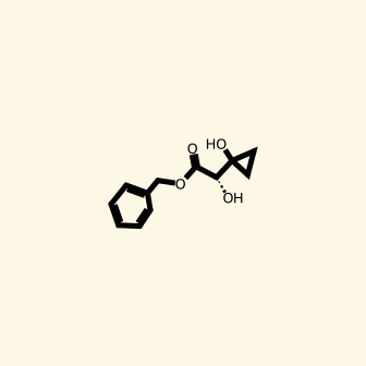 O=C(OCc1ccccc1)[C@@H](O)C1(O)CC1